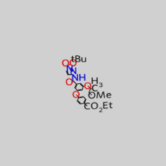 CCOC(=O)c1ccc(Oc2cc(O[C@@H](C)COC)cc(C(=O)Nc3ccn(C(=O)OC(C)(C)C)n3)c2)cc1